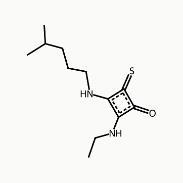 CCNc1c(NCCCC(C)C)c(=S)c1=O